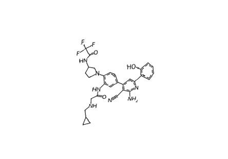 N#Cc1c(-c2ccc(N3CCC(NC(=O)C(F)(F)F)C3)c(NC(=O)CNCC3CC3)c2)cc(-c2ccccc2O)nc1N